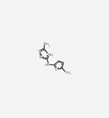 Cc1ccc(Nc2nnc(N)[nH]2)o1